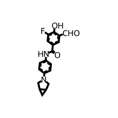 O=Cc1cc(C(=O)Nc2ccc(N3CC4CC4C3)cc2)cc(F)c1O